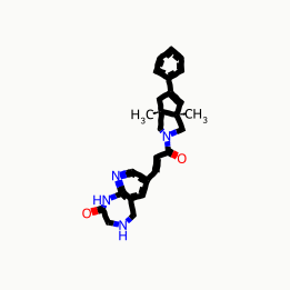 C[C@]12CC(c3ccccc3)=C[C@@]1(C)CN(C(=O)/C=C/c1cnc3c(c1)CNCC(=O)N3)C2